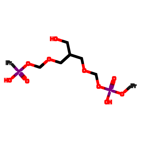 CC(C)OP(=O)(O)OCOCC(CO)COCOP(=O)(O)C(C)C